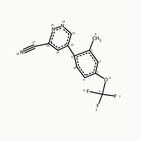 Cc1cc(OC(F)(F)F)ccc1-c1cnnc(C#N)c1